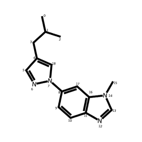 CC(C)Cc1cnn(-c2ccc3ncn(C)c3c2)c1